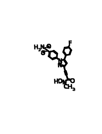 CN(O)C(=O)C#Cc1cc(-c2ccc(F)cc2)n(-c2ccc(S(N)(=O)=O)cc2)n1